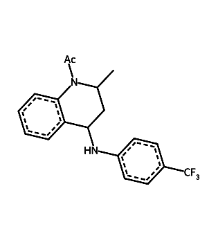 CC(=O)N1c2ccccc2C(Nc2ccc(C(F)(F)F)cc2)CC1C